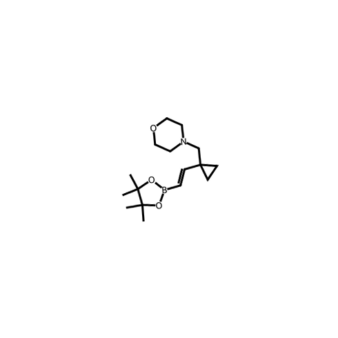 CC1(C)OB(/C=C/C2(CN3CCOCC3)CC2)OC1(C)C